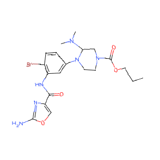 CCCOC(=O)N1CCN(c2ccc(Br)c(NC(=O)c3coc(N)n3)c2)C(N(C)C)C1